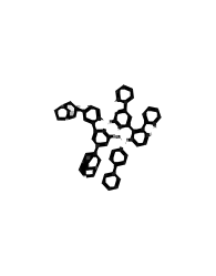 CCC1(c2ccc3c(c2)c2cc(C45CC6CC(CC(C6)C4)C5)cc4c2n3-c2c3c(cc5c2sc2ccccc25)-c2c(ccc5oc6ccccc6c25)N(c2ccc(-c5ccccc5)cc2)B34)CC2CCC(C2)C1